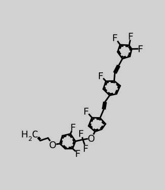 C=CCOc1cc(F)c(C(F)(F)Oc2ccc(C#Cc3ccc(C#Cc4cc(F)c(F)c(F)c4)c(F)c3)c(F)c2)c(F)c1